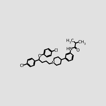 CC(C)C(=O)Nc1cccc(C2CCN(CCCC(Oc3ccc(Cl)cc3)c3ccc(Cl)cc3)CC2)c1